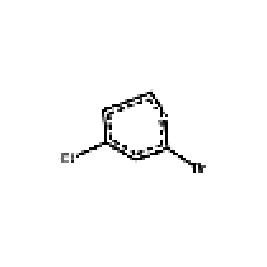 C[CH]c1ccnc(Br)c1